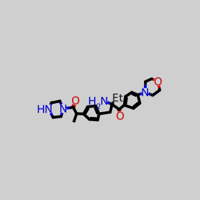 CCC(N)(Cc1ccc(C(C)C(=O)N2CCNCC2)cc1)C(=O)c1ccc(N2CCOCC2)cc1